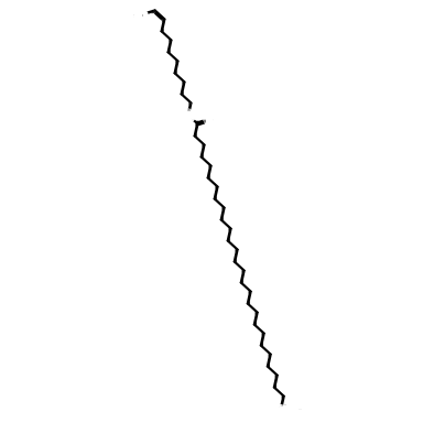 CCCCCC/C=C\CCCCCCCCOC(=O)CCCCCCCCCCCCCCCCCCCCCCCCCCCCCCCCCCCC